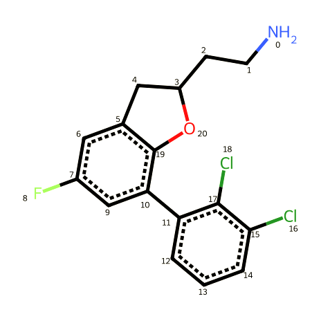 NCCC1Cc2cc(F)cc(-c3cccc(Cl)c3Cl)c2O1